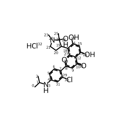 CC(C)Nc1ccc(-c2cc(=O)c3c(O)cc(O)c(C4CCN(C)C4(C)O)c3o2)c(Cl)c1.Cl